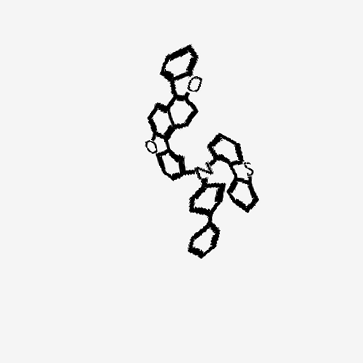 c1ccc(-c2ccc(N(c3ccc4oc5ccc6c(ccc7oc8ccccc8c76)c5c4c3)c3cccc4sc5ccccc5c34)cc2)cc1